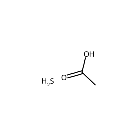 CC(=O)O.S